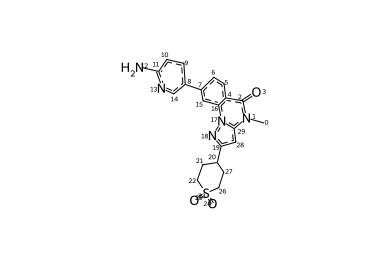 Cn1c(=O)c2ccc(-c3ccc(N)nc3)cc2n2nc(C3CCS(=O)(=O)CC3)cc12